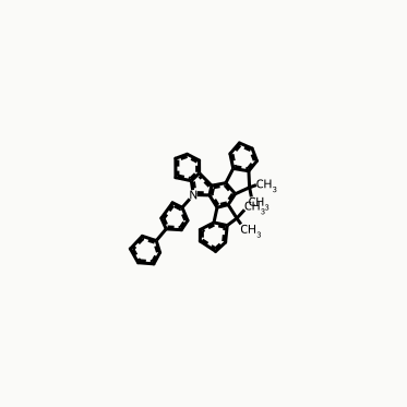 CC1(C)c2ccccc2-c2c1c1c(c3c2c2ccccc2n3-c2ccc(-c3ccccc3)cc2)-c2ccccc2C1(C)C